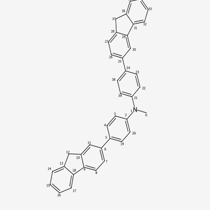 CN(c1ccc(-c2ccc3c(c2)Cc2ccccc2-3)cc1)c1ccc(-c2ccc3c(c2)-c2ccccc2C3)cc1